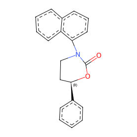 O=C1O[C@@H](c2ccccc2)CCN1c1cccc2ccccc12